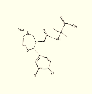 CC(C)(NC(=O)C[C@@H]1CNCCO[C@H]1c1ccc(Cl)c(Cl)c1)C(=O)O.Cl